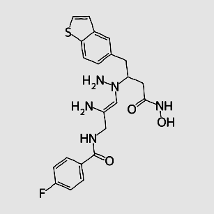 N/C(=C\N(N)C(CC(=O)NO)Cc1ccc2sccc2c1)CNC(=O)c1ccc(F)cc1